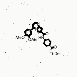 CCCCCCCCCCOC(=O)[C@H]1CC[C@H](NC(=O)c2cc3nccc(-c4ccc(OC)c(OC)c4)n3n2)CC1